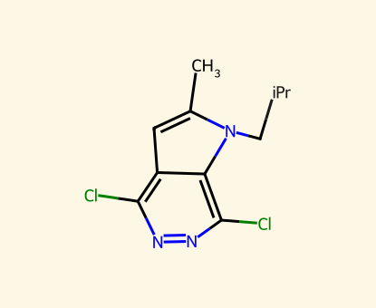 Cc1cc2c(Cl)nnc(Cl)c2n1CC(C)C